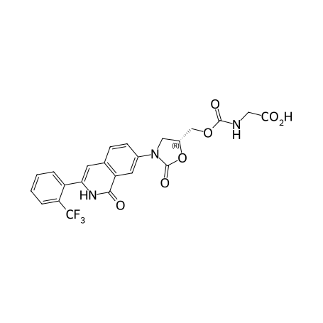 O=C(O)CNC(=O)OC[C@H]1CN(c2ccc3cc(-c4ccccc4C(F)(F)F)[nH]c(=O)c3c2)C(=O)O1